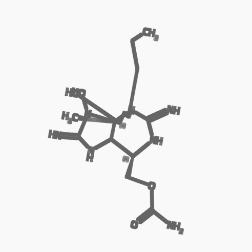 CCCC1C[C@](C)(O)C23C(NC(=N)N2O)[C@H](COC(N)=O)NC(=N)N13